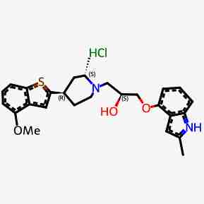 COc1cccc2sc([C@@H]3CCN(C[C@H](O)COc4cccc5[nH]c(C)cc45)[C@@H](C)C3)cc12.Cl